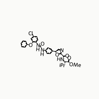 COC(=O)C(NC(=O)c1ncc(-c2ccc(NC(=O)Nc3ccc(Cl)cc3Oc3ccccc3)cc2)o1)C(C)C